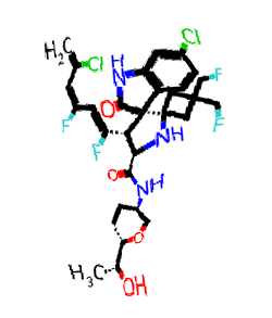 C=C(Cl)/C=C(F)\C=C(/F)[C@H]1[C@H](C(=O)N[C@@H]2CC[C@@H]([C@@H](C)O)OC2)NC2(CC(CF)(CF)C2)[C@@]12C(=O)Nc1cc(Cl)ccc12